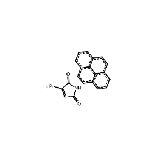 CCCC1=CC(=O)NC1=O.c1cc2ccc3cccc4ccc(c1)c2c34